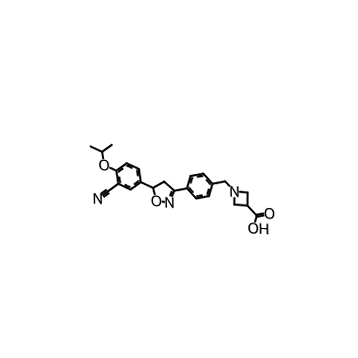 CC(C)Oc1ccc(C2CC(c3ccc(CN4CC(C(=O)O)C4)cc3)=NO2)cc1C#N